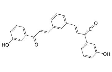 O=C=C(C=Cc1cccc(C=CC(=O)c2cccc(O)c2)c1)c1cccc(O)c1